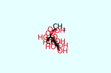 CC(O)C(=O)OC(=O)C(C(=O)[C@H](O)[C@@H](O)[C@H](O)[C@H](O)CO)C(C)O